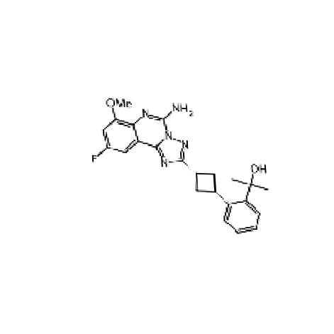 COc1cc(F)cc2c1nc(N)n1nc([C@H]3C[C@@H](c4ccccc4C(C)(C)O)C3)nc21